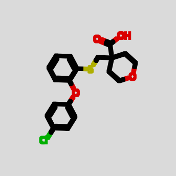 O=C(O)C1(CSc2ccccc2Oc2ccc(Cl)cc2)CCOCC1